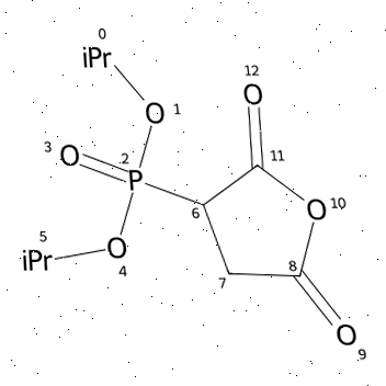 CC(C)OP(=O)(OC(C)C)C1CC(=O)OC1=O